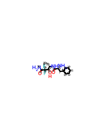 CC(C)[C@H](NC(=O)[C@@H](N)Cc1ccccc1)[C@@H](O)C(F)(F)C(N)=O